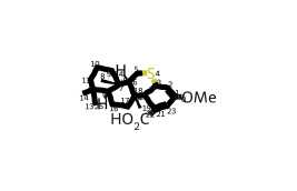 COC1=CC2SC[C@@H]3[C@@]4(C)CCCC(C)(C)[C@@H]4CC[C@@]3(C)C2C(C(=O)O)=C1